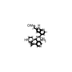 C=C(/N=C(\c1c(N)cncc1C1CC1)N1CCNCC1)c1ccnc2[nH]c(COC)cc12